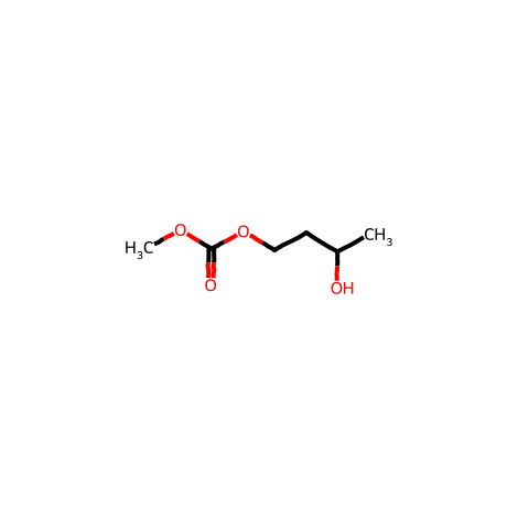 COC(=O)OCCC(C)O